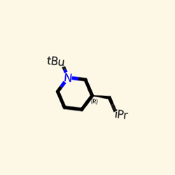 CC(C)C[C@H]1CCCN(C(C)(C)C)C1